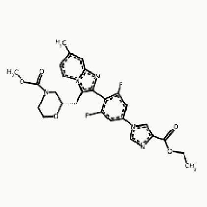 CCOC(=O)c1cn(-c2cc(F)c(-c3nc4cc(C)ccn4c3C[C@H]3CN(C(=O)OC)CCO3)c(F)c2)cn1